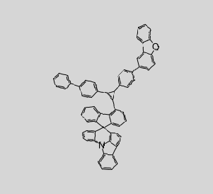 c1ccc(-c2ccc(C3=C(c4cccc5c4-c4ccccc4C54c5ccccc5-n5c6ccccc6c6cccc4c65)C3c3ccc(-c4ccc5oc6ccccc6c5c4)cc3)cc2)cc1